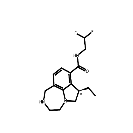 CC[C@H]1CN2CCNCc3ccc(C(=O)NCC(F)F)c1c32